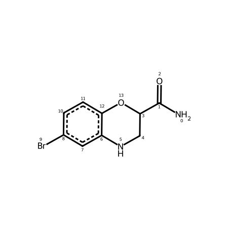 NC(=O)C1CNc2cc(Br)ccc2O1